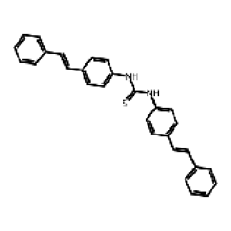 S=C(Nc1ccc(/C=C/c2ccccc2)cc1)Nc1ccc(/C=C/c2ccccc2)cc1